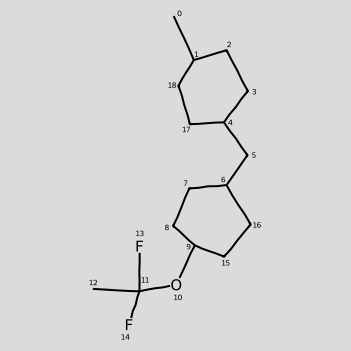 CC1CCC(CC2CCC(OC(C)(F)F)CC2)CC1